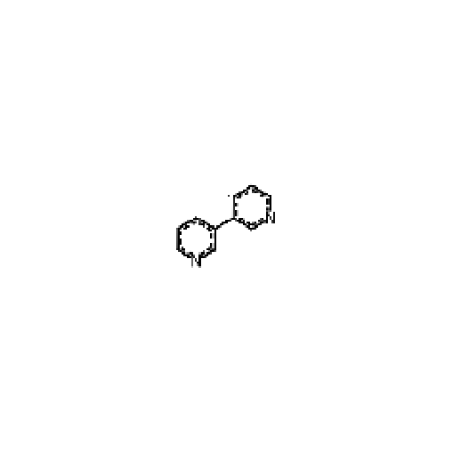 [c]1ccncc1-c1cccnc1